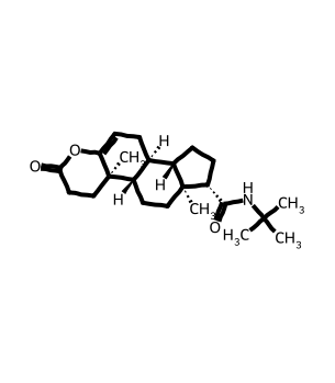 CC(C)(C)NC(=O)[C@H]1CC[C@H]2[C@@H]3CC=C4OC(=O)CC[C@]4(C)[C@H]3CC[C@]12C